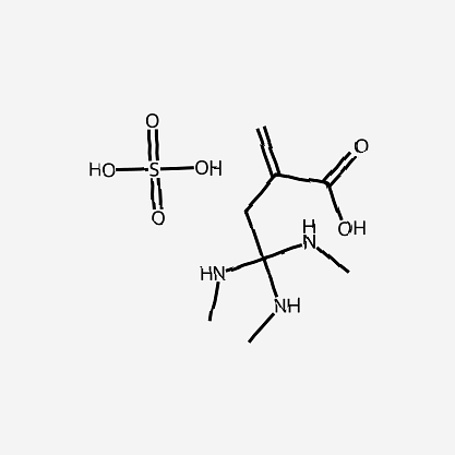 C=C(CC(NC)(NC)NC)C(=O)O.O=S(=O)(O)O